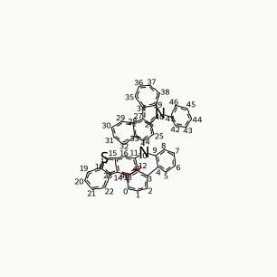 c1ccc(-c2ccccc2N(c2ccc3c(c2)sc2ccccc23)c2cc3c(c4ccccc24)c2ccccc2n3-c2ccccc2)cc1